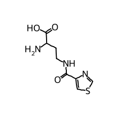 NC(CCNC(=O)c1cscn1)C(=O)O